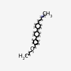 C=CCCOCc1ccc(C2CCC(C3CCC(CC/C=C/C)CC3)CC2)cc1